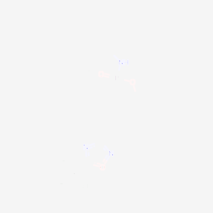 CCOP(=O)(Nc1ccccc1F)c1ccc(-c2noc(C(F)(F)Cl)n2)cc1